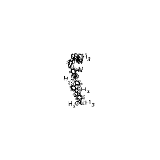 Cc1c(-c2nc3cc(CN4CCC(C(=O)NS(C)(=O)=O)C4)cc(C#N)c3o2)cccc1-c1cccc(-c2nc3c(s2)CN(C(C)C)CC3)c1C